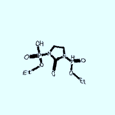 CCO[PH](=O)N1CCN(P(=O)(O)OCC)C1=O